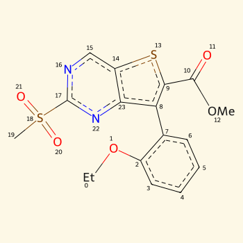 CCOc1ccccc1-c1c(C(=O)OC)sc2cnc(S(C)(=O)=O)nc12